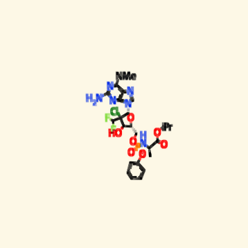 CNc1nc(N)nc2c1ncn2[C@@H]1O[C@H](CO[P@@](=O)(N[C@H](C)C(=O)OC(C)C)Oc2ccccc2)[C@@H](O)[C@]1(Cl)C(F)F